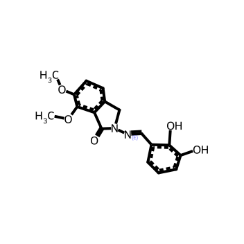 COc1ccc2c(c1OC)C(=O)N(/N=C/c1cccc(O)c1O)C2